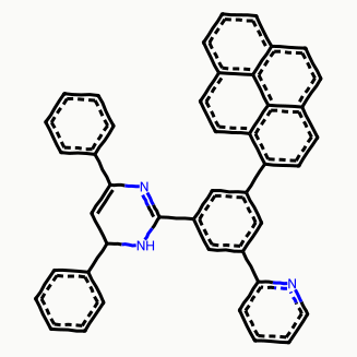 C1=C(c2ccccc2)N=C(c2cc(-c3ccccn3)cc(-c3ccc4ccc5cccc6ccc3c4c56)c2)NC1c1ccccc1